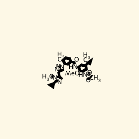 COc1c(NC(=O)c2ccc(C)c(-n3cc(-c4cnc(C5CC5)n4C)nn3)c2)cc(C2(C)CC2)cc1NS(C)(=O)=O